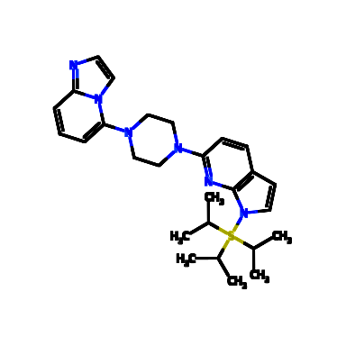 CC(C)S(C(C)C)(C(C)C)n1ccc2ccc(N3CCN(c4cccc5nccn45)CC3)nc21